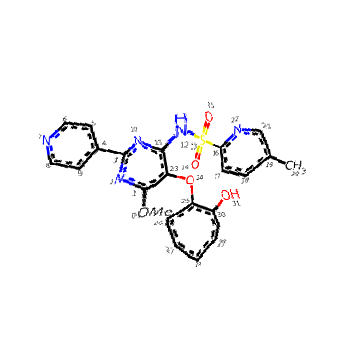 COc1nc(-c2ccncc2)nc(NS(=O)(=O)c2ccc(C)cn2)c1Oc1ccccc1O